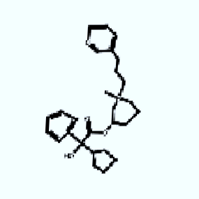 C[N+]1(CCCc2cccnc2)CCC[C@@H](OC(=O)C(O)(c2ccccc2)C2CCCC2)C1